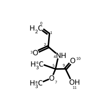 C=CC(=O)NC(C)(OC)C(=O)O